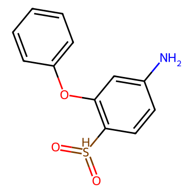 Nc1ccc([SH](=O)=O)c(Oc2ccccc2)c1